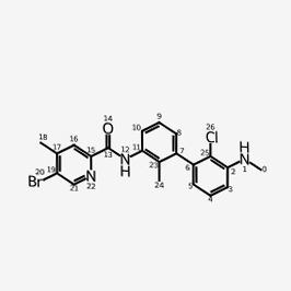 CNc1cccc(-c2cccc(NC(=O)c3cc(C)c(Br)cn3)c2C)c1Cl